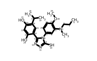 CCCN(C)c1cc(-n2c(S)nnc2-c2cc(C(C)C)c(O)cc2O)ccc1OC